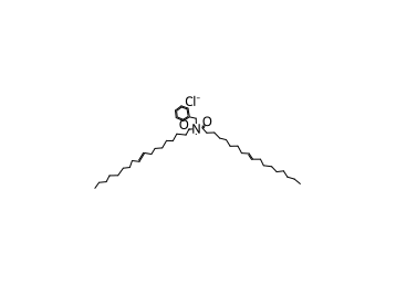 CCCCCCCCC=CCCCCCCCC(=O)[N+](C)(Cc1ccccc1)C(=O)CCCCCCCC=CCCCCCCCC.[Cl-]